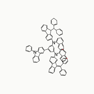 C1=CCC(C(C2=CCCC=C2)C2c3ccccc3-c3ccc(N(c4cc(-c5ccc6c(c5)c5ccccc5n6-c5ccccc5)cc(N(c5ccc6c(c5)C(=C(c5ccccc5)c5ccccc5)c5ccccc5-6)c5cccc6ccccc56)c4)c4cccc5ccccc45)cc32)C=C1